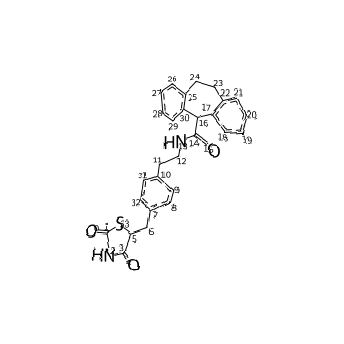 O=C1NC(=O)C(Cc2ccc(CCNC(=O)C3c4ccccc4CCc4ccccc43)cc2)S1